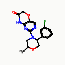 CC1CN(c2ncc3c(n2)NC(=O)CO3)C(c2cccc(F)c2)CO1